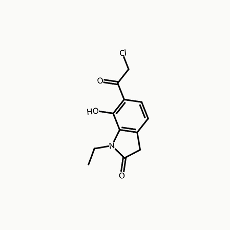 CCN1C(=O)Cc2ccc(C(=O)CCl)c(O)c21